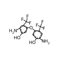 Nc1cc(C(F)(F)F)c(Oc2cc(O)c(N)cc2C(F)(F)F)cc1O